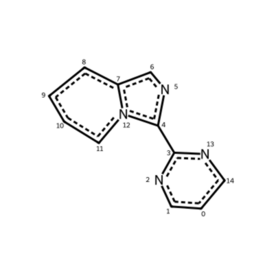 c1cnc(-c2ncc3ccccn23)nc1